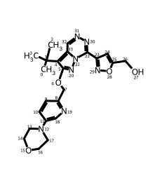 CC(C)(C)c1c(OCc2ccc(N3CCOCC3)cn2)nn2c(-c3cc(CO)on3)nncc12